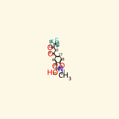 CCN(Oc1ccc(C(=O)CC(=O)C(F)(F)F)cc1)C(=O)O